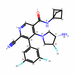 N#Cc1ncc(C(=O)NC23CC(C2)C3)c(N2C[C@H](N)[C@@H](F)C2)c1-c1cc(F)cc(F)c1